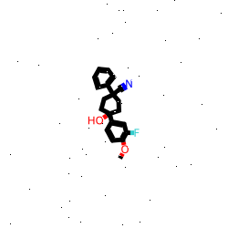 COc1ccc(C2(O)CCC(C#N)(c3ccccc3)CC2)cc1F